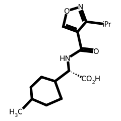 CC1CCC([C@H](NC(=O)c2conc2C(C)C)C(=O)O)CC1